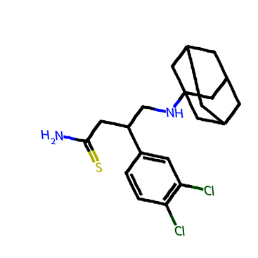 NC(=S)CC(CNC12CC3CC(CC(C3)C1)C2)c1ccc(Cl)c(Cl)c1